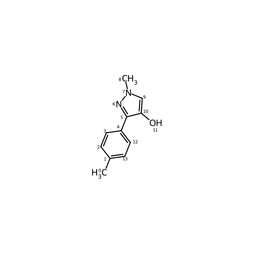 Cc1ccc(-c2nn(C)cc2O)cc1